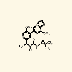 CCN(C(=O)N[C@H]1C[C@@]1(C)C(F)(F)F)C(c1cc(-c2cn3ccnc3c(OC)n2)c(OC)cn1)C(F)(F)F